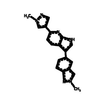 Cn1cc(-c2ccc3c(-c4ccc5nn(C)cc5c4)c[nH]c3n2)cn1